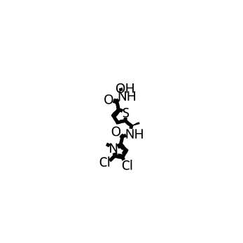 C[C@@H](NC(=O)c1cc(Cl)c(Cl)n1C)C1CC=C(C(=O)NO)S1